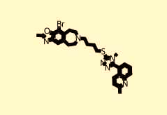 Cc1ccc2c(-c3nnc(SCCCCN4CCc5cc6nc(C)oc6c(Br)c5CC4)n3C)cccc2n1